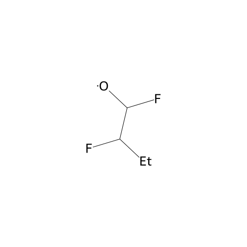 CCC(F)C([O])F